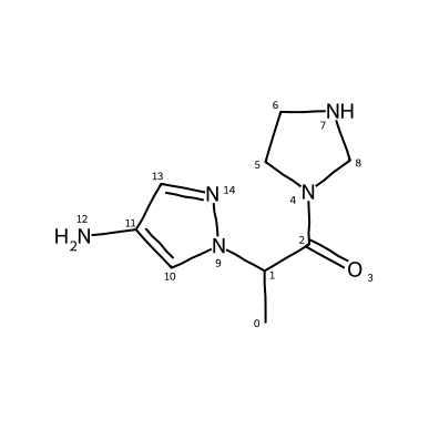 CC(C(=O)N1CCNC1)n1cc(N)cn1